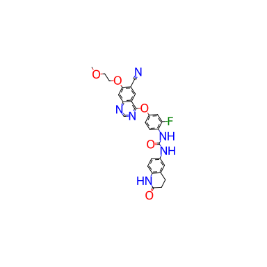 COCCOc1cc2ncnc(Oc3ccc(NC(=O)Nc4ccc5c(c4)CCC(=O)N5)c(F)c3)c2cc1C#N